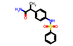 CC(C(N)=O)c1ccc(NS(=O)(=O)c2ccccc2)cc1